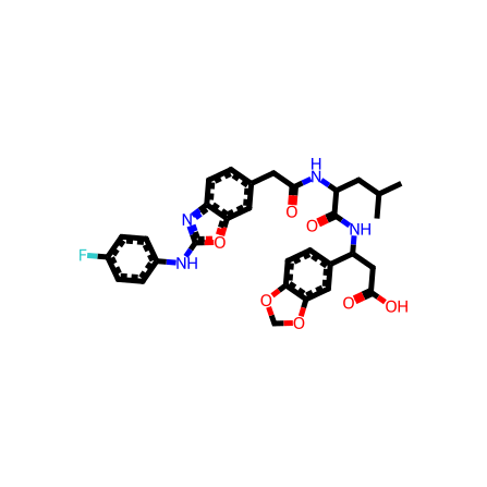 CC(C)CC(NC(=O)Cc1ccc2nc(Nc3ccc(F)cc3)oc2c1)C(=O)NC(CC(=O)O)c1ccc2c(c1)OCO2